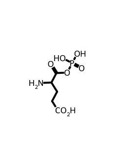 NC(CCC(=O)O)C(=O)OP(=O)(O)O